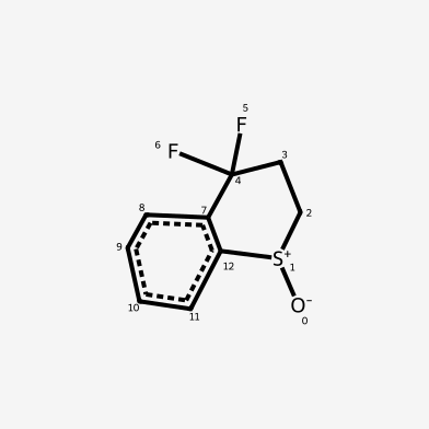 [O-][S+]1CCC(F)(F)c2ccccc21